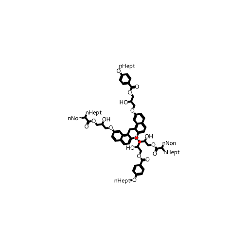 CCCCCCCCCC(CCCCCCC)C(=O)OCC(O)COc1ccc2ccc(OCC(O)COC(=O)C(CCCCCCC)CCCCCCCCC)c(Cc3c(OCC(O)COC(=O)c4ccc(OCCCCCCC)cc4)ccc4ccc(OCC(O)COC(=O)c5ccc(OCCCCCCC)cc5)cc34)c2c1